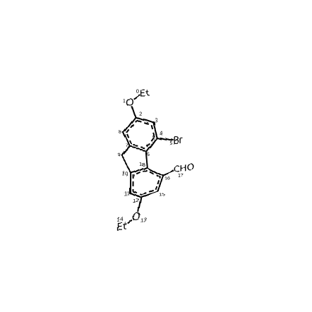 CCOc1cc(Br)c2c(c1)Cc1cc(OCC)cc(C=O)c1-2